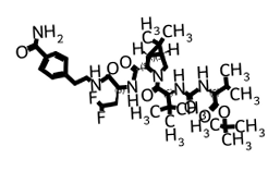 CC(C)[C@H](NC(=O)N[C@H](C(=O)N1C[C@H]2[C@@H]([C@H]1C(=O)N[C@@H](CC(F)F)C(=O)NCCc1ccc(C(N)=O)cc1)C2(C)C)C(C)(C)C)C(=O)OC(C)(C)C